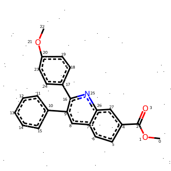 COC(=O)c1ccc2cc(-c3ccccc3)c(-c3ccc(OC)cc3)nc2c1